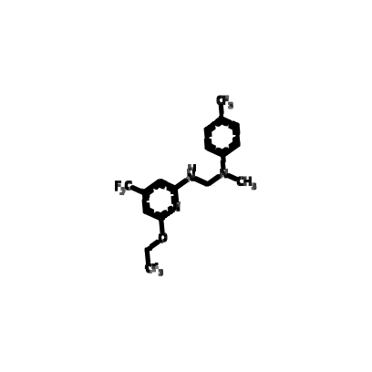 CN(CNc1cc(C(F)(F)F)cc(OCC(F)(F)F)n1)c1ccc(C(F)(F)F)cc1